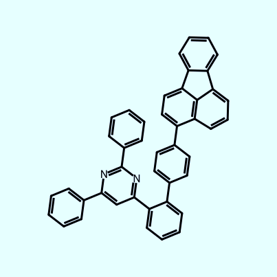 c1ccc(-c2cc(-c3ccccc3-c3ccc(-c4ccc5c6c(cccc46)-c4ccccc4-5)cc3)nc(-c3ccccc3)n2)cc1